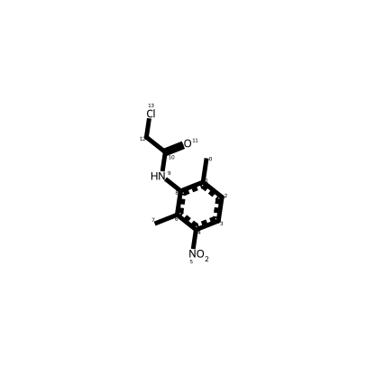 Cc1ccc([N+](=O)[O-])c(C)c1NC(=O)CCl